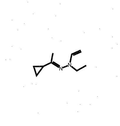 C=CN(CC)/N=C(\C)C1CC1